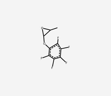 CC1OC1Oc1c(F)c(F)c(F)c(F)c1F